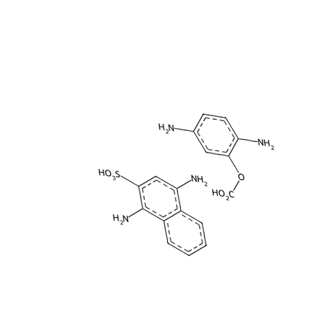 Nc1cc(S(=O)(=O)O)c(N)c2ccccc12.Nc1ccc(N)c(OC(=O)O)c1